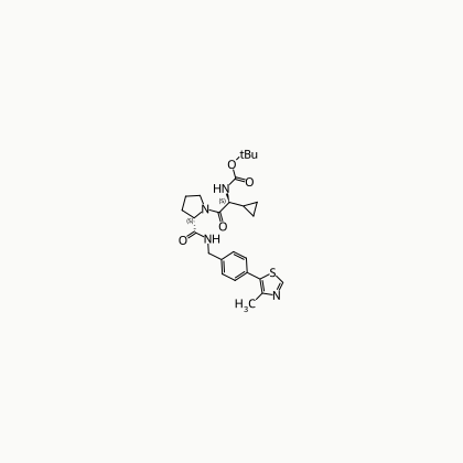 Cc1ncsc1-c1ccc(CNC(=O)[C@@H]2CCCN2C(=O)[C@@H](NC(=O)OC(C)(C)C)C2CC2)cc1